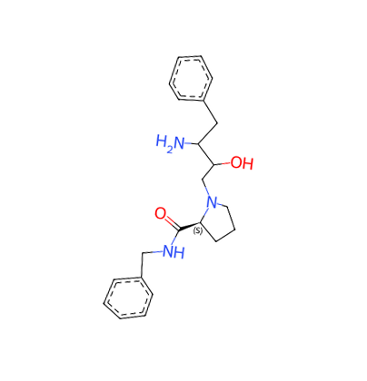 NC(Cc1ccccc1)C(O)CN1CCC[C@H]1C(=O)NCc1ccccc1